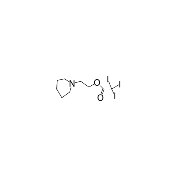 O=C(OCCN1CCCCC1)C(I)(I)I